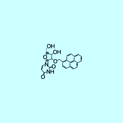 O=c1ccn([C@@H]2O[C@H](CO)C(O)C2OCc2ccc3ccc4cccc5ccc2c3c45)c(=O)[nH]1